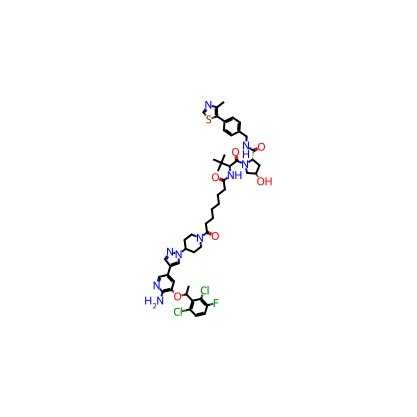 Cc1ncsc1-c1ccc(CNC(=O)[C@@H]2C[C@@H](O)CN2C(=O)C(NC(=O)CCCCCCC(=O)N2CCC(n3cc(-c4cnc(N)c(OC(C)c5c(Cl)ccc(F)c5Cl)c4)cn3)CC2)C(C)(C)C)cc1